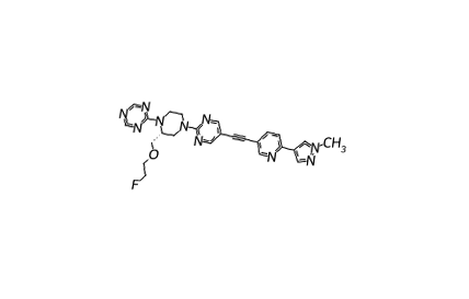 Cn1cc(-c2ccc(C#Cc3cnc(N4CCN(c5ncncn5)[C@@H](COCCF)C4)nc3)cn2)cn1